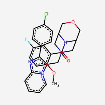 COc1ccc(F)cc1C(=O)N1C2COCC1CN(Cc1c(-c3ccc(Cl)cc3)nc3ccccn13)C2